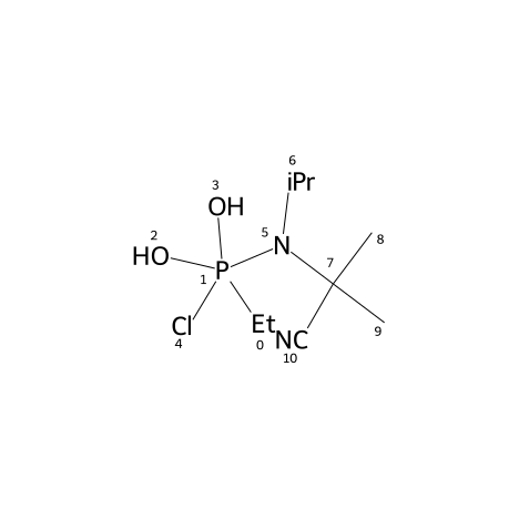 CCP(O)(O)(Cl)N(C(C)C)C(C)(C)C#N